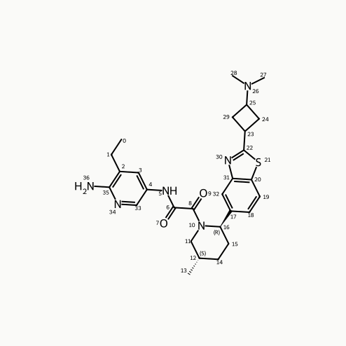 CCc1cc(NC(=O)C(=O)N2C[C@@H](C)CC[C@@H]2c2ccc3sc(C4CC(N(C)C)C4)nc3c2)cnc1N